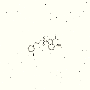 Nc1cccc2c1c(C(F)F)cn2S(=O)(=O)CC=Cc1cccc(F)c1